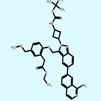 CCOC(=O)Cc1cc(COC)ccc1OCc1c2cc(-c3ccc4ccnc(N)c4c3)ccc2nn1C1CC(NC(=O)OC(C)(C)C)C1